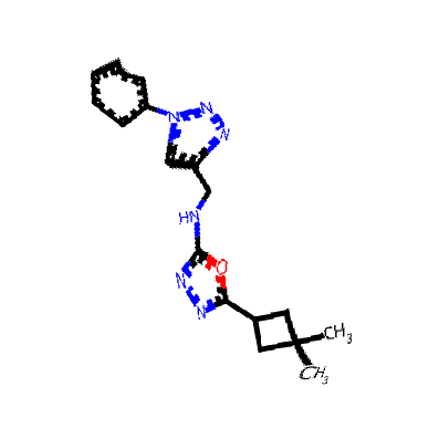 CC1(C)CC(c2nnc(NCc3cn(-c4ccccc4)nn3)o2)C1